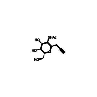 C#CC[C@H]1O[C@H](CO)[C@H](O)[C@H](O)[C@H]1NC(C)=O